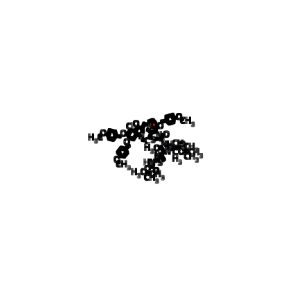 CCn1cc(C[N+]2(CC3=C(C(=O)OCc4ccc(OC)cc4)N4C(=O)[C@@H](NC(=O)/C(=N\OC(C)(C)C(=O)OC(C)(C)C)c5csc(NC(=O)OC(C)(C)C)n5)C4SC3)CCCC2)c(=O)c2c(Cl)c(OCc3ccc(OC)cc3)c(OCc3ccc(OC)cc3)cc21